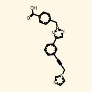 O=C(O)c1ccc(Cn2ncc(-c3cccc(C#CCn4ccnc4)c3)n2)cc1